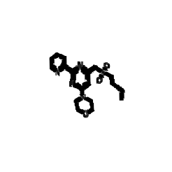 CCCCS(=O)(=O)Cc1cc(N2CCOCC2)nc(-c2ccccn2)n1